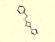 c1ccc(COC2CC(n3ccnc3)C2)cc1